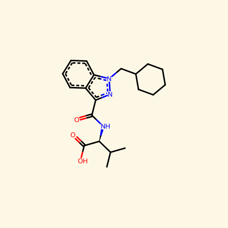 CC(C)[C@H](NC(=O)c1nn(CC2CCCCC2)c2ccccc12)C(=O)O